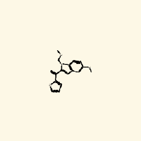 C=C(c1ccco1)c1cc2cc(OC)ccc2n1COC